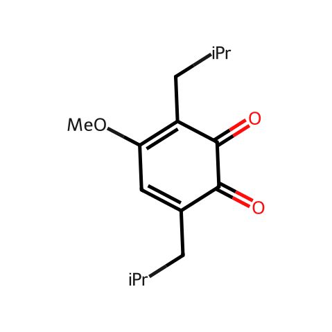 COC1=C(CC(C)C)C(=O)C(=O)C(CC(C)C)=C1